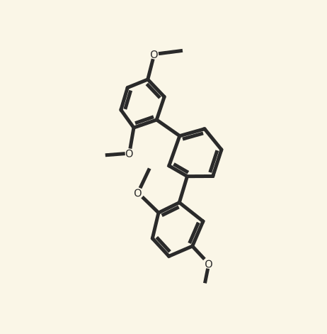 COc1ccc(OC)c(-c2cccc(-c3cc(OC)ccc3OC)c2)c1